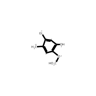 CCc1cc(O)c(OC(=O)O)cc1C